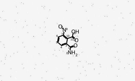 NC(=O)c1cccc(N=O)c1C(=O)O